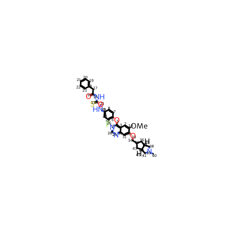 COc1cc2c(Oc3ccc(NOC(=S)NC(=O)Cc4ccccc4)cc3F)ncnc2cc1OCC1C[C@@H]2CN(C)C[C@@H]2C1